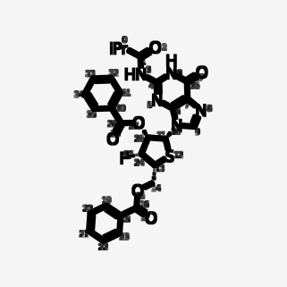 CC(C)C(=O)Nc1nc2c(ncn2[C@@H]2S[C@H](COC(=O)c3ccccc3)[C@H](F)[C@@H]2OC(=O)c2ccccc2)c(=O)[nH]1